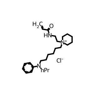 C=CC(=O)NCC[N+]1(CCCCCCN(CCC)c2ccccc2)CCCCC1.[Cl-]